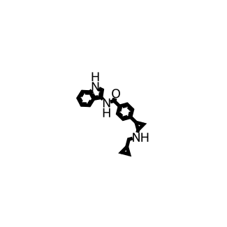 O=C(Nc1c[nH]c2ccccc12)c1ccc(C2CC2NCC2CC2)cc1